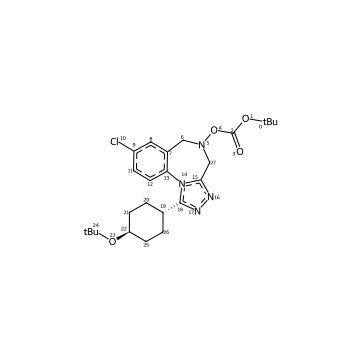 CC(C)(C)OC(=O)ON1Cc2cc(Cl)ccc2-n2c(nnc2[C@H]2CC[C@H](OC(C)(C)C)CC2)C1